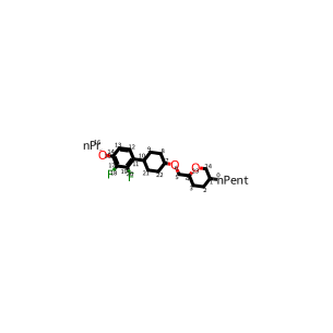 CCCCCC1CCC(COC2CCC(c3ccc(OCCC)c(F)c3F)CC2)OC1